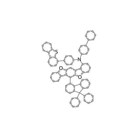 c1ccc(-c2ccc(N(c3ccc(-c4cccc5c4sc4ccccc45)cc3)c3cccc4oc5c(-c6cccc7c6-c6ccccc6C7(c6ccccc6)c6ccccc6)c6c(cc5c34)oc3ccccc36)cc2)cc1